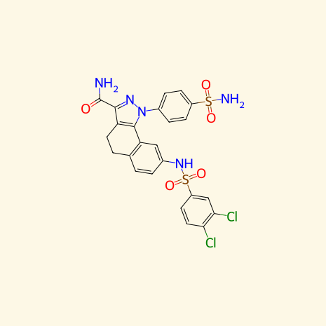 NC(=O)c1nn(-c2ccc(S(N)(=O)=O)cc2)c2c1CCc1ccc(NS(=O)(=O)c3ccc(Cl)c(Cl)c3)cc1-2